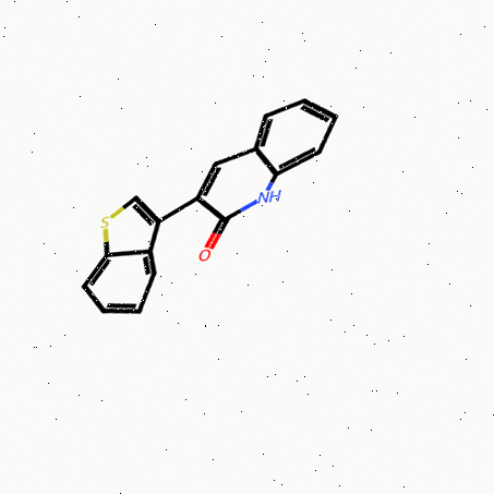 O=c1[nH]c2ccccc2cc1-c1csc2ccccc12